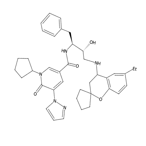 CCc1ccc2c(c1)C(NC[C@@H](O)[C@H](Cc1ccccc1)NC(=O)c1cc(-n3cccn3)c(=O)n(C3CCCC3)c1)CC1(CCCC1)O2